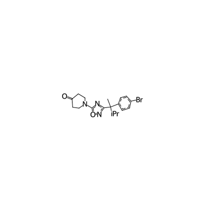 CC(C)C(C)(c1ccc(Br)cc1)c1noc(N2CCC(=O)CC2)n1